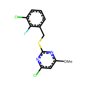 COc1cc(Cl)nc(SCc2cccc(Cl)c2F)n1